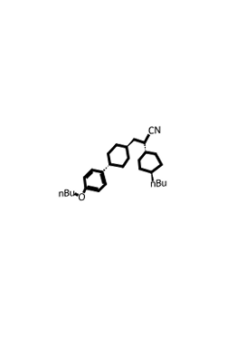 CCCCOc1ccc([C@H]2CC[C@H](CC(C#N)[C@H]3CC[C@H](CCCC)CC3)CC2)cc1